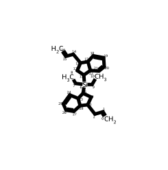 C=CCC1CC([Si](CC)(CC)C2CC(CC=C)C3C=CC=CC32)C2C=CC=CC12